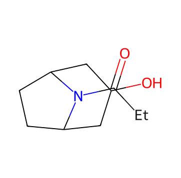 CCC(=O)N1C2CCC1CC(O)C2